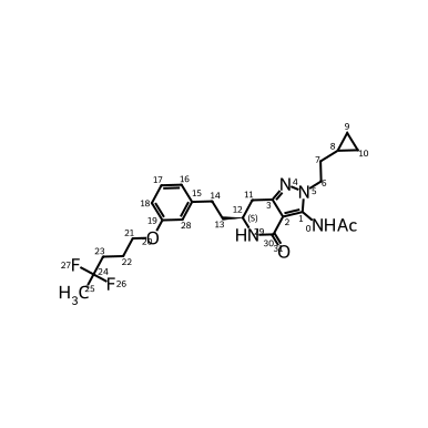 CC(=O)Nc1c2c(nn1CCC1CC1)C[C@H](CCc1cccc(OCCCC(C)(F)F)c1)NC2=O